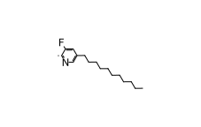 CCCCCCCCCCCc1cn[c]c(F)c1